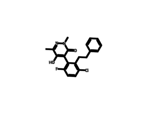 Cc1nn(C)c(=O)c(-c2c(F)ccc(Cl)c2CCc2ccccc2)c1O